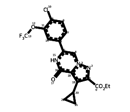 CCOC(=O)c1nn2cc(-c3ccc(Cl)c(OC(F)(F)F)c3)[nH]c(=O)c2c1C1CC1